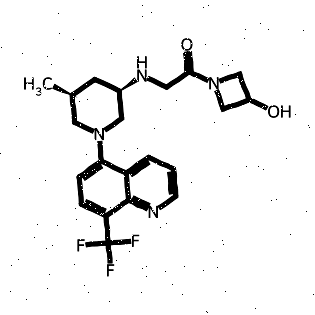 C[C@H]1C[C@@H](NCC(=O)N2CC(O)C2)CN(c2ccc(C(F)(F)F)c3ncccc23)C1